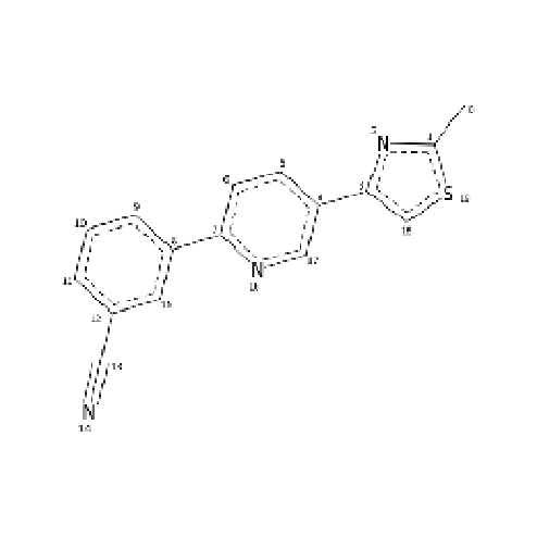 Cc1nc(-c2ccc(-c3cccc(C#N)c3)nc2)cs1